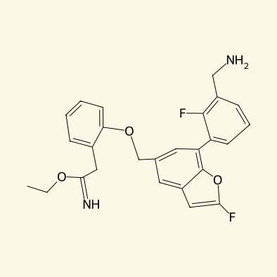 CCOC(=N)Cc1ccccc1OCc1cc(-c2cccc(CN)c2F)c2oc(F)cc2c1